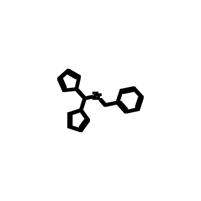 C1=CC([CH]([Zr][CH2]c2ccccc2)C2C=CC=C2)C=C1